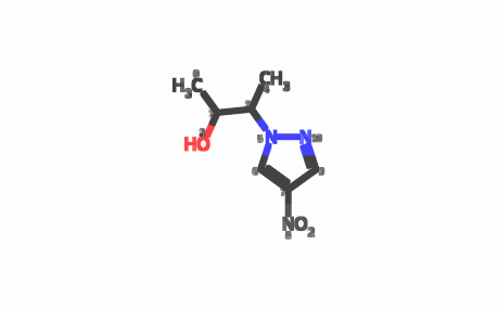 CC(O)C(C)n1cc([N+](=O)[O-])cn1